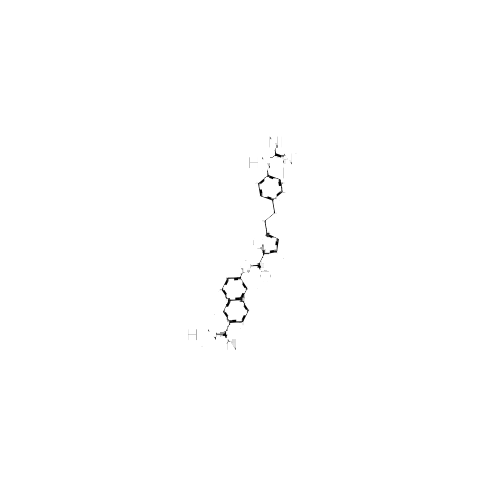 N=C(N)Nc1ccc(CCc2ccc(C(=O)Oc3ccc4cc(C(=N)N)ccc4c3)o2)cc1